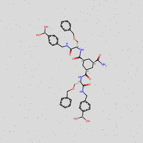 NC(=O)[C@H]1C[C@@H](C(=O)N[C@@H](COCc2ccccc2)C(=O)NCc2ccc(B(O)O)cc2)C[C@@H](C(=O)N[C@@H](COCc2ccccc2)C(=O)NCc2ccc(B(O)O)cc2)C1